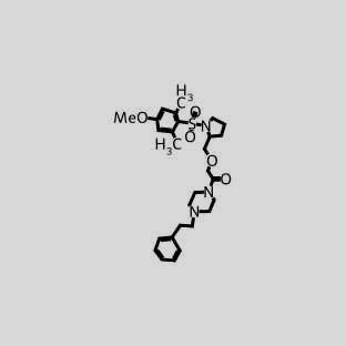 COc1cc(C)c(S(=O)(=O)N2CCCC2COCC(=O)N2CCN(CCc3ccccc3)CC2)c(C)c1